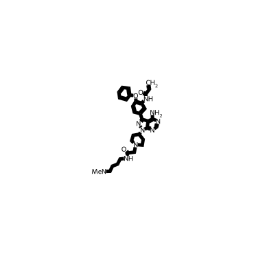 C=CC(=O)Nc1cc(-c2nn(C3CCN(CC(=O)NCCCCNC)CC3)c3ncnc(N)c23)ccc1Oc1ccccc1